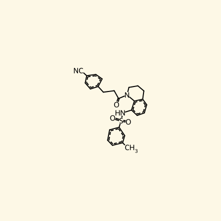 Cc1cccc(S(=O)(=O)Nc2cccc3c2N(C(=O)CCc2ccc(C#N)cc2)CCC3)c1